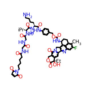 CC[C@@]1(O)C(=O)OCc2c1cc1n(c2=O)Cc2c-1nc1cc(F)c(C)c3c1c2[C@@H](NC(=O)OCc1ccc(NC(=O)[C@H](CCCCN)NC(=O)[C@@H](NC(=O)CNC(=O)CNC(=O)CCCCCN2C(=O)C=CC2=O)C(C)C)cc1)CC3